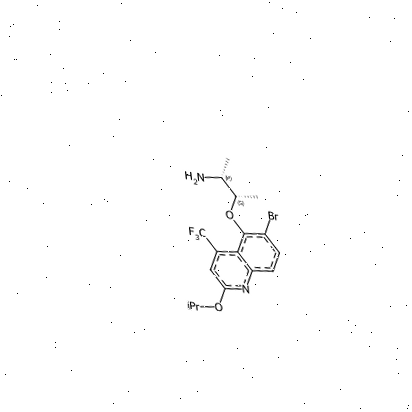 CC(C)Oc1cc(C(F)(F)F)c2c(O[C@@H](C)[C@@H](C)N)c(Br)ccc2n1